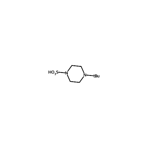 CC(C)(C)N1CCN(S(=O)(=O)O)CC1